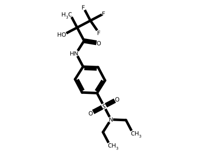 CCN(CC)S(=O)(=O)c1ccc(NC(=O)C(C)(O)C(F)(F)F)cc1